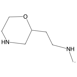 [CH2]NCCC1CNCCO1